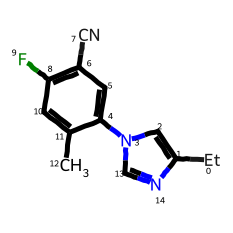 CCc1cn(-c2cc(C#N)c(F)cc2C)cn1